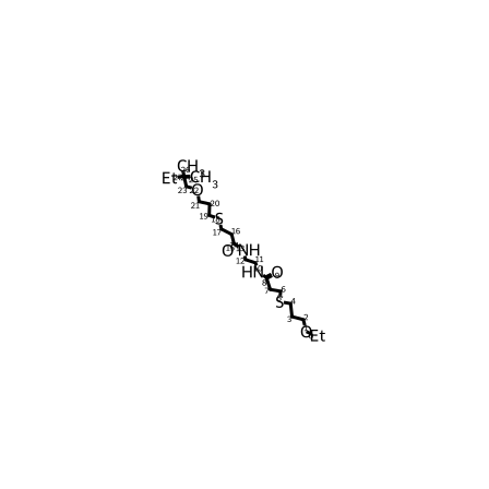 CCOCCCSCCC(=O)NCCNC(=O)CCSCCCOCC(C)(C)CC